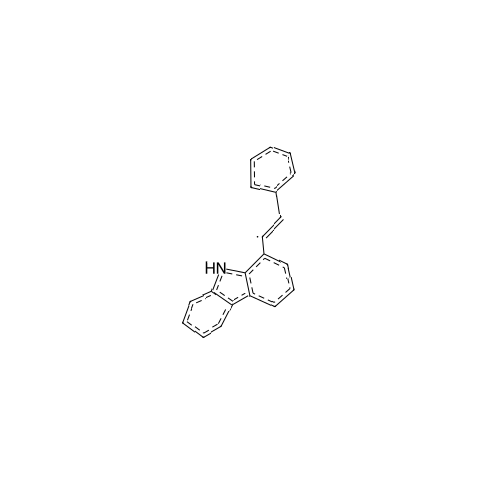 [C](=Cc1ccccc1)c1cccc2c1[nH]c1ccccc12